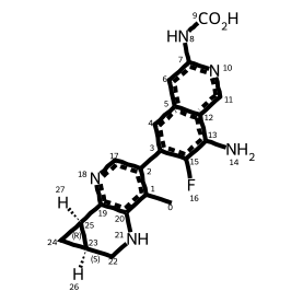 Cc1c(-c2cc3cc(NC(=O)O)ncc3c(N)c2F)cnc2c1NC[C@H]1C[C@@H]21